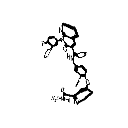 CNC(=O)c1cc(Oc2ccc(NC(=O)c3cc4cccnc4n(-c4ccc(F)c(Cl)c4)c3=O)cc2F)ccn1